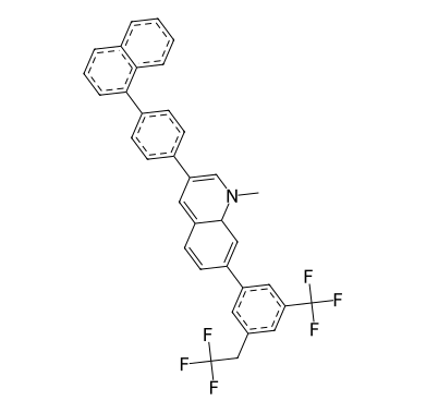 CN1C=C(c2ccc(-c3cccc4ccccc34)cc2)C=C2C=CC(c3cc(CC(F)(F)F)cc(C(F)(F)F)c3)=CC21